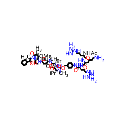 CC[C@H](C)[C@@H]([C@@H](CC(=O)N1CCC[C@H]1[C@H](OC)[C@@H](C)C(=O)N[C@H](C)[C@@H](O)c1ccccc1)OC)N(C)C(=O)[C@@H](NC(=O)[C@@H](C(C)C)N(C)C(=O)OCc1ccc(NC(=O)[C@H](CCCNC(=N)N)NC(=O)[C@H](CCCCN)NC(=O)[C@H](CCCNC(=N)N)NC(C)=O)cc1)C(C)C